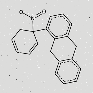 O=[N+]([O-])C1(c2cccc3c2Cc2ccccc2C3)C=CC=CC1